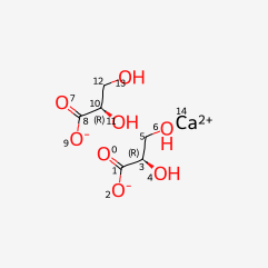 O=C([O-])[C@H](O)CO.O=C([O-])[C@H](O)CO.[Ca+2]